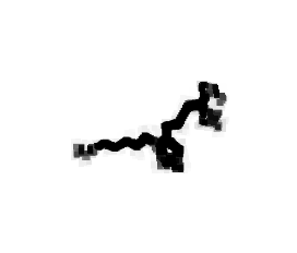 CCCCCCn1nncc1CCCC(C)C